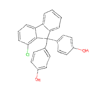 Oc1ccc(C2(c3ccc(O)cc3)c3ccccc3-c3cccc(Cl)c32)cc1